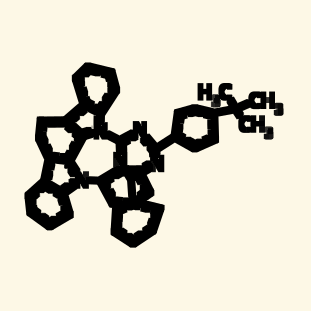 CC(C)(C)c1ccc(-c2nc(-c3ccccc3)nc(-n3c4ccccc4c4ccc5c6ccccc6n(-c6ccccc6)c5c43)n2)cc1